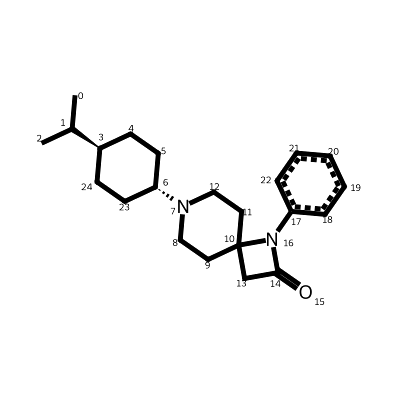 CC(C)[C@H]1CC[C@H](N2CCC3(CC2)CC(=O)N3c2ccccc2)CC1